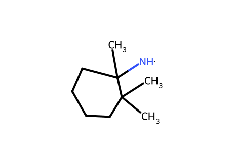 CC1(C)CCCCC1(C)[NH]